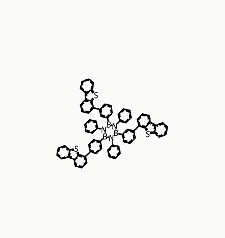 c1ccc(N2B(c3ccc(-c4cccc5c4sc4ccccc45)cc3)N(c3ccccc3)B(c3cccc(-c4cccc5c4sc4ccccc45)c3)N(c3ccccc3)B2c2cccc(-c3cccc4c3sc3ccccc34)c2)cc1